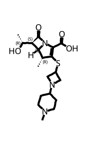 C[C@@H](O)[C@H]1C(=O)N2C(C(=O)O)=C(SC3CN(C4CCN(C)CC4)C3)[C@H](C)[C@H]12